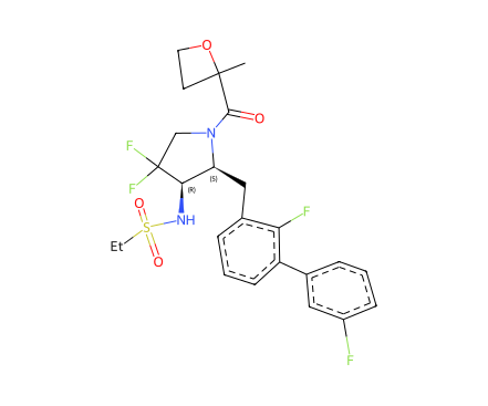 CCS(=O)(=O)N[C@@H]1[C@H](Cc2cccc(-c3cccc(F)c3)c2F)N(C(=O)C2(C)CCO2)CC1(F)F